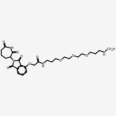 O=C(O)NCCCOCCOCCOCCCNC(=O)COc1cccc2c1C(=O)N(C1CCCC(=O)NC1=O)C2=O